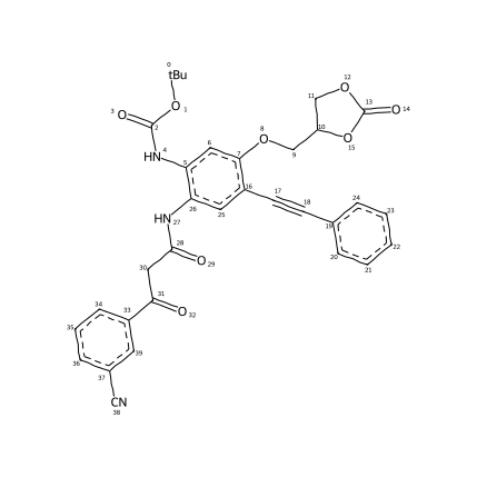 CC(C)(C)OC(=O)Nc1cc(OCC2COC(=O)O2)c(C#Cc2ccccc2)cc1NC(=O)CC(=O)c1cccc(C#N)c1